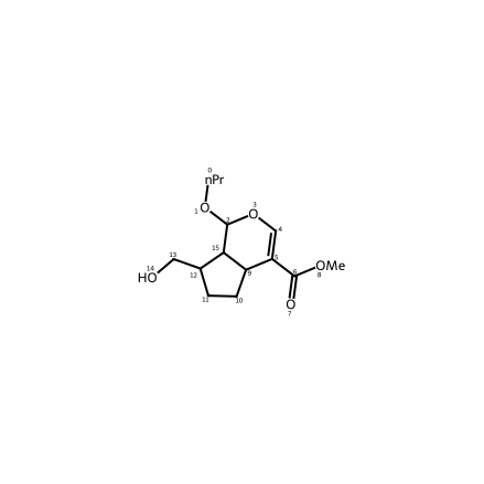 CCCOC1OC=C(C(=O)OC)C2CCC(CO)C12